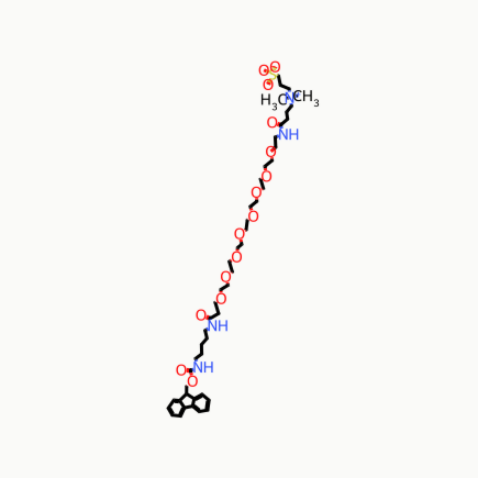 C[N+](C)(CCCC(=O)NCCOCCOCCOCCOCCOCCOCCOCCOCCC(=O)NCCCCCNC(=O)OCC1c2ccccc2-c2ccccc21)CCCS(=O)(=O)[O-]